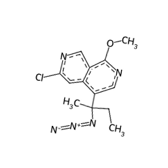 CCC(C)(N=[N+]=[N-])c1cnc(OC)c2cnc(Cl)cc12